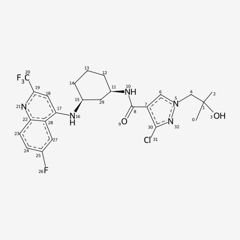 CC(C)(O)Cn1cc(C(=O)N[C@@H]2CCC[C@H](Nc3cc(C(F)(F)F)nc4ccc(F)cc34)C2)c(Cl)n1